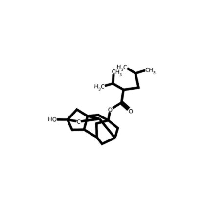 CC(C)CC(C(=O)OC12CC3CC(C1)C1CC4(O)CC3C1(C4)C2)C(C)C